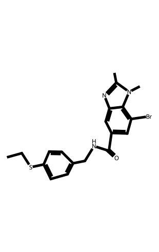 CCSc1ccc(CNC(=O)c2cc(Br)c3c(c2)nc(C)n3C)cc1